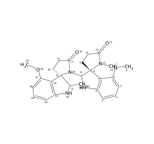 COc1cccc2c1[C@]1(CCC(=O)N1C)C(N1C(=O)CC[C@]13c1c(cccc1OC)NC3C)N2